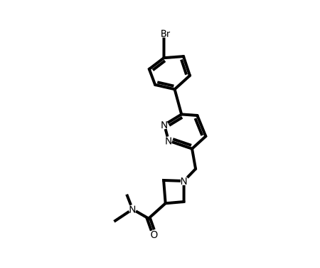 CN(C)C(=O)C1CN(Cc2ccc(-c3ccc(Br)cc3)nn2)C1